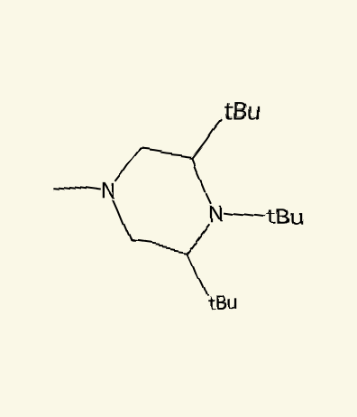 CN1CC(C(C)(C)C)N(C(C)(C)C)C(C(C)(C)C)C1